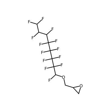 FC(F)C(F)C(F)C(F)(F)C(F)(F)C(F)(F)C(F)(F)C(F)OCC1CO1